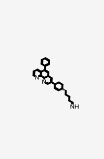 N=CCCCC[C@H]1C=CC(C2=CC3C=C(c4ccccc4)c4cccnc4C3N=C2)CC1